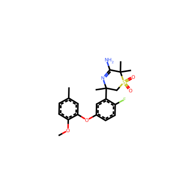 COc1ccc(C)cc1Oc1ccc(F)c(C2(C)CS(=O)(=O)C(C)(C)C(N)=N2)c1